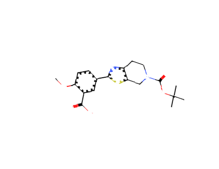 COc1ccc(-c2nc3c(s2)CN(C(=O)OC(C)(C)C)CC3)cc1C(=O)O